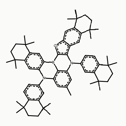 Cc1cc2c3c(c1)N(c1ccc4c(c1)C(C)(C)CCC4(C)C)c1c(oc4cc5c(cc14)C(C)(C)CCC5(C)C)B3c1cc3c(cc1N2c1ccc2c(c1)C(C)(C)CCC2(C)C)C(C)(C)CCC3(C)C